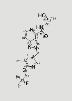 Cc1cc(Cn2cc3c(C(=O)NC[C@@H](C)O)nccc3n2)cnc1OCC(C)(F)F